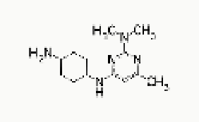 Cc1cc(NC2CCC(N)CC2)nc(N(C)C)n1